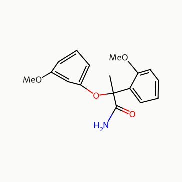 COc1cccc(OC(C)(C(N)=O)c2ccccc2OC)c1